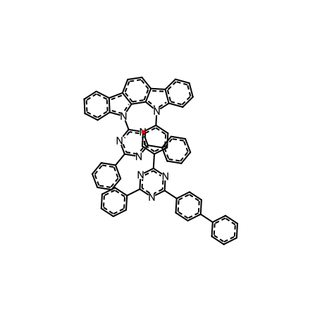 c1ccc(-c2ccc(-c3nc(-c4ccccc4)nc(-c4ccc(-n5c6ccccc6c6ccc7c8ccccc8n(-c8nc(-c9ccccc9)nc(-c9ccccc9)n8)c7c65)cc4)n3)cc2)cc1